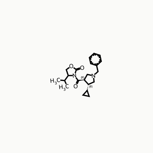 CC(C)C1COC(=O)N1C(=O)[C@H]1CN(Cc2ccccc2)C[C@@H]1C1CC1